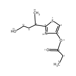 CCC(=O)Oc1csc(C(C)CCO)n1